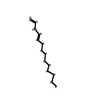 CCCCCCCCCC=C[N][C]=O